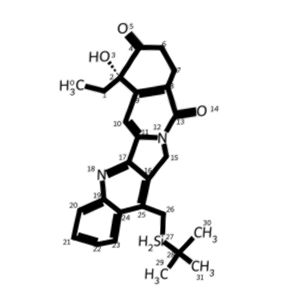 CC[C@@]1(O)C(=O)CCc2c1cc1n(c2=O)Cc2c-1nc1ccccc1c2C[SiH2]C(C)(C)C